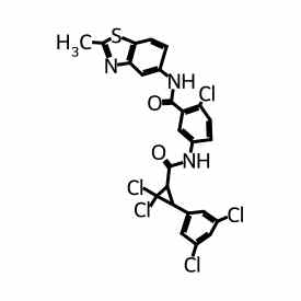 Cc1nc2cc(NC(=O)c3cc(NC(=O)C4C(c5cc(Cl)cc(Cl)c5)C4(Cl)Cl)ccc3Cl)ccc2s1